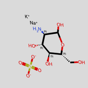 N[C@H]1C(O)O[C@H](CO)[C@@H](O)[C@@H]1O.O=S(=O)([O-])[O-].[K+].[Na+]